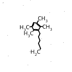 [CH2]CCCCCc1c(C)c(C)cc(C)c1C